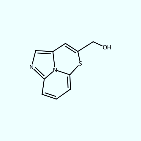 OCC1=Cc2cnc3cccc(n23)S1